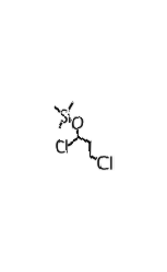 C[Si](C)(C)OC(Cl)CCCl